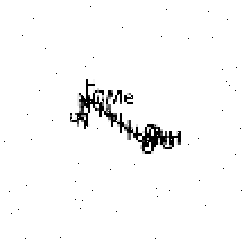 COc1cc(N2CC3(CCN(C4CN(C5CN(c6ccc7c(c6)C(=O)N(C6CCC(=O)NC6=O)C7=O)C5)C4)CC3)C2)ccc1Nc1nccc(-c2cn(C3CC3)c3ccccc23)n1